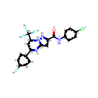 O=C(Nc1ccc(Cl)cc1)c1cc2nc(-c3ccc(F)cc3)cc(C(F)(F)F)n2n1